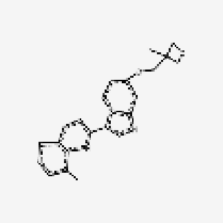 Cc1cccc2ccc(-c3cnc4cc(OCC5(C)COC5)ccn34)nc12